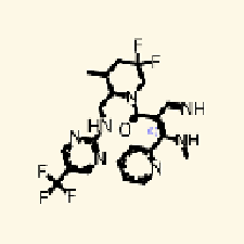 CN/C(=C(\C=N)C(=O)N1CC(F)(F)CC(C)C1CNc1ncc(C(F)(F)F)cn1)c1ccccn1